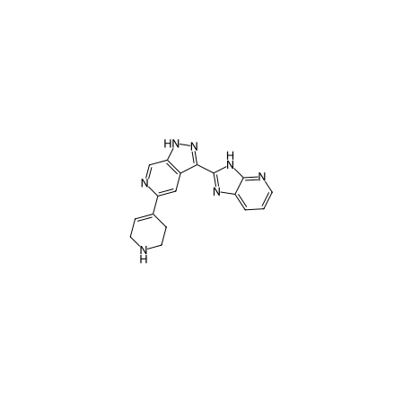 C1=C(c2cc3c(-c4nc5cccnc5[nH]4)n[nH]c3cn2)CCNC1